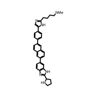 CNCCCCc1ncc(-c2ccc(-c3ccc4cc(-c5ccc6nc(C7CCCN7)[nH]c6c5)ccc4c3)cc2)[nH]1